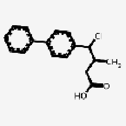 CC(CC(=O)O)C(Cl)c1ccc(-c2ccccc2)cc1